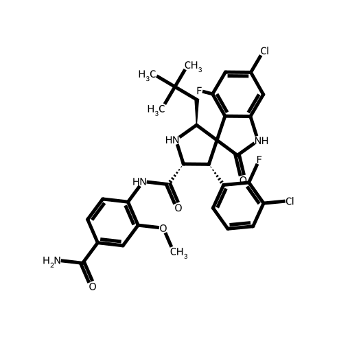 COc1cc(C(N)=O)ccc1NC(=O)[C@@H]1N[C@@H](CC(C)(C)C)C2(C(=O)Nc3cc(Cl)cc(F)c32)[C@@H]1c1cccc(Cl)c1F